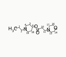 CCCN1CCC(OC(=O)CCN2CCOCC2)CC1